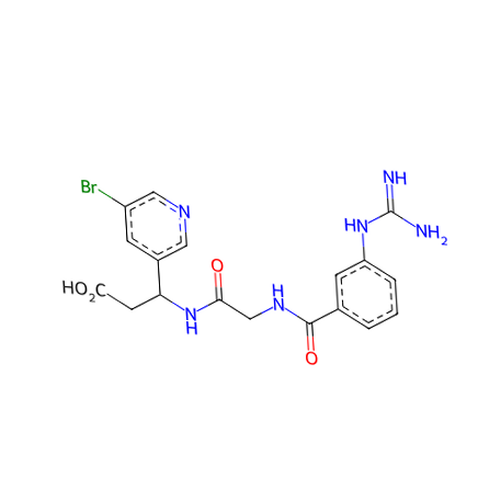 N=C(N)Nc1cccc(C(=O)NCC(=O)NC(CC(=O)O)c2cncc(Br)c2)c1